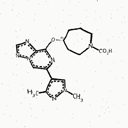 Cc1nn(C)cc1-c1cn2ncnc2c(O[C@@H]2CCCN(C(=O)O)CC2)n1